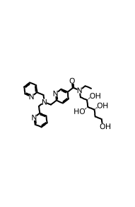 CCN(C[C@H](O)[C@@H](O)[C@H](O)CCO)C(=O)c1ccc(CN(Cc2ccccn2)Cc2ccccn2)nc1